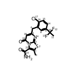 Cc1sc2nc(Cc3cc(C(C)(F)F)ccc3Cl)cc(=O)n2c1C(N)=O